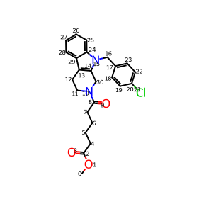 COC(=O)CCCCC(=O)N1CCc2c(n(Cc3ccc(Cl)cc3)c3ccccc23)C1